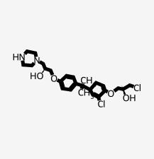 CC(C)(c1ccc(OC[C@H](O)CN2CCNCC2)cc1)C1C=C(Cl)C(OC[C@H](O)CCl)=CC1